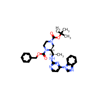 C[C@H](Nc1nccc(-n2cnc3ccccc32)n1)[C@@H]1CN(C(=O)OC(C)(C)C)CCN1C(=O)OCc1ccccc1